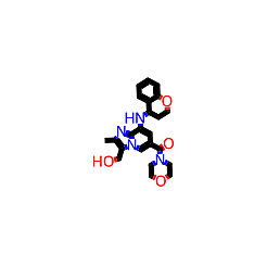 Cc1nc2c(NC3CCOc4ccccc43)cc(C(=O)N3CCOCC3)cn2c1CO